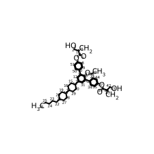 C=C(CO)C(=O)Oc1ccc(-c2cc(C3CCC(C4CCC(CCCCC)CC4)CC3)cc(-c3ccc(OC(=O)C(=C)CO)cc3)c2OCC)cc1